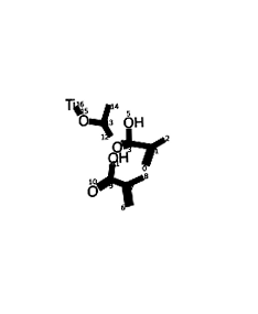 C=C(C)C(=O)O.C=C(C)C(=O)O.CC(C)[O][Ti]